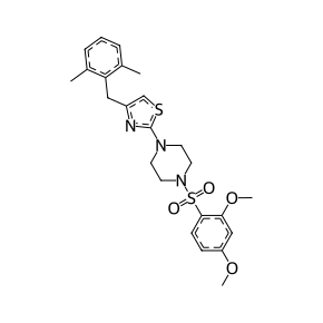 COc1ccc(S(=O)(=O)N2CCN(c3nc(Cc4c(C)cccc4C)cs3)CC2)c(OC)c1